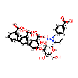 CCC(NC)[C@@H]1O[C@H](CO)[C@@H](O)[C@H](O)[C@H]1O.O=C(O)c1ccccc1.O=C(O)c1ccccc1.O=C(O)c1ccccc1.O=C(O)c1ccccc1